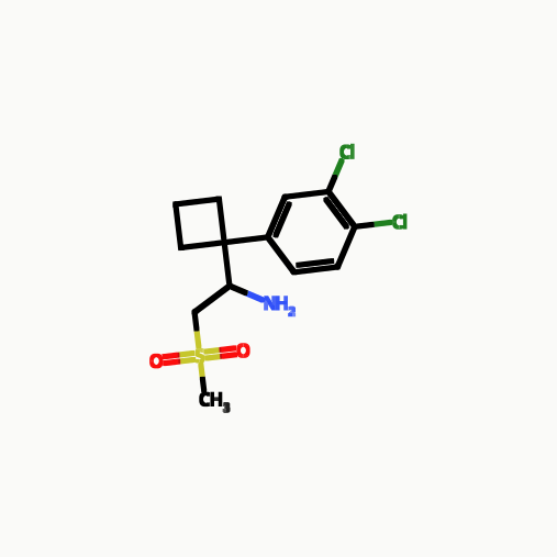 CS(=O)(=O)CC(N)C1(c2ccc(Cl)c(Cl)c2)CCC1